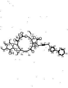 CCO[C@@H](O[C@@H]1[C@@H](C)C(=O)[C@](C)(F)C(=O)O[C@H](CC)[C@@]2(C)OC(=O)N(CC#CCn3cc(-c4ccccn4)nn3)[C@@H]2[C@@H](C)C(=O)[C@H](C)C[C@@]1(C)OC)C(O)C(CC)N(C)C